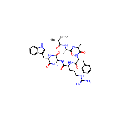 CCCC[C@H](NC(C)=O)C(=O)N[C@@H](C)C(=O)N[C@@H](C)C(=O)N[C@H](Cc1ccccc1)C(=O)N[C@@H](CCCNC(=N)N)C(=O)N[C@@H](C)C(=O)N[C@@H](Cc1c[nH]c2ccccc12)C(N)=O